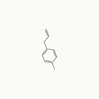 C=C[CH]c1ccc(C)cc1